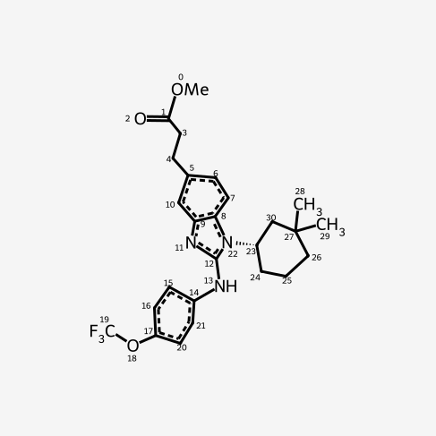 COC(=O)CCc1ccc2c(c1)nc(Nc1ccc(OC(F)(F)F)cc1)n2[C@H]1CCCC(C)(C)C1